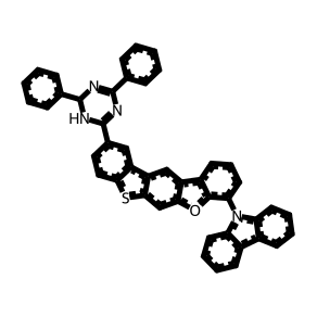 c1ccc(C2=NC(c3ccccc3)NC(c3ccc4sc5cc6oc7c(-n8c9ccccc9c9ccccc98)cccc7c6cc5c4c3)=N2)cc1